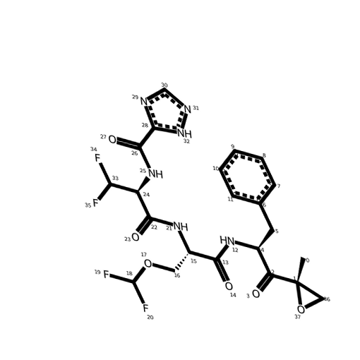 C[C@@]1(C(=O)[C@H](Cc2ccccc2)NC(=O)[C@H](COC(F)F)NC(=O)[C@H](NC(=O)c2ncn[nH]2)C(F)F)CO1